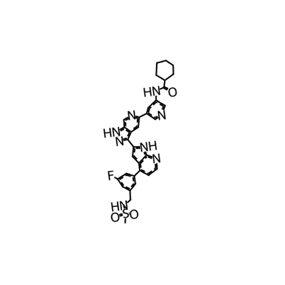 CS(=O)(=O)NCc1cc(F)cc(-c2ccnc3[nH]c(-c4n[nH]c5cnc(-c6cncc(NC(=O)C7CCCCC7)c6)cc45)cc23)c1